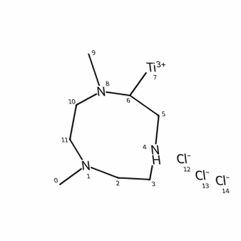 CN1CCNC[CH]([Ti+3])N(C)CC1.[Cl-].[Cl-].[Cl-]